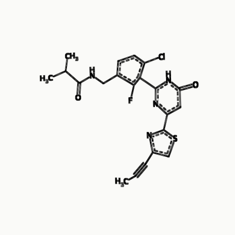 CC#Cc1csc(-c2cc(=O)[nH]c(-c3c(Cl)ccc(CNC(=O)C(C)C)c3F)n2)n1